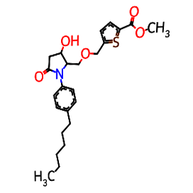 CCCCCCc1ccc(N2C(=O)CC(O)C2COCc2ccc(C(=O)OC)s2)cc1